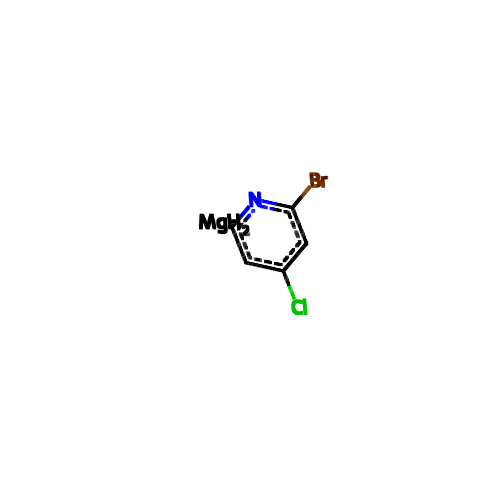 Clc1ccnc(Br)c1.[MgH2]